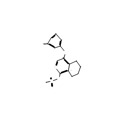 CS(=O)(=O)Oc1ncc(Sc2cccc(Cl)c2)c2c1CCCC2